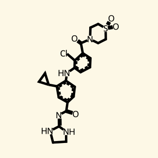 O=C(N=C1NCCN1)c1ccc(Nc2cccc(C(=O)N3CCS(=O)(=O)CC3)c2Cl)c(C2CC2)c1